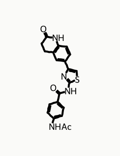 CC(=O)Nc1ccc(C(=O)Nc2nc(-c3ccc4c(c3)CCC(=O)N4)cs2)cc1